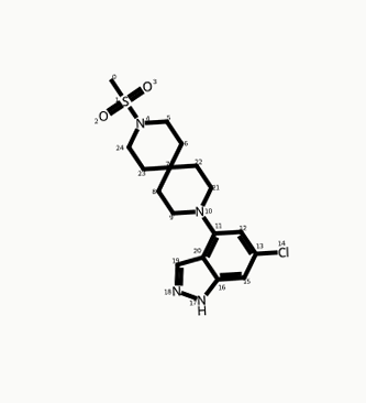 CS(=O)(=O)N1CCC2(CCN(c3cc(Cl)cc4[nH]ncc34)CC2)CC1